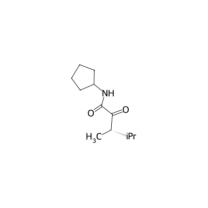 CC(C)[C@H](C)C(=O)C(=O)NC1CCCC1